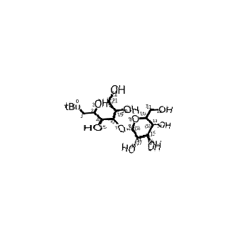 CC(C)(C)CC(O)C(O)C(O[C@@H]1OC(CO)[C@@H](O)C(O)[C@@H]1O)C(O)CO